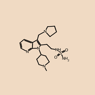 CN1CCC(n2c(CCNS(N)(=O)=O)c(CN3CCCC3)c3cccnc32)CC1